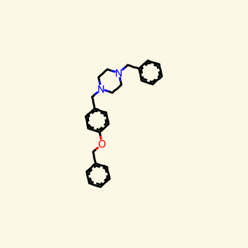 c1ccc(COc2ccc(CN3CCN(Cc4ccccc4)CC3)cc2)cc1